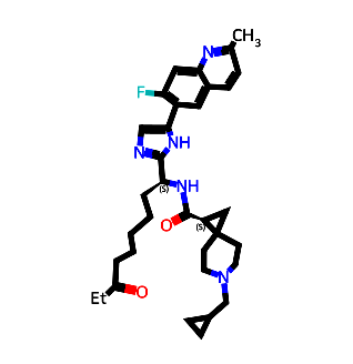 CCC(=O)CCCCC[C@H](NC(=O)[C@H]1CC12CCN(CC1CC1)CC2)c1ncc(-c2cc3ccc(C)nc3cc2F)[nH]1